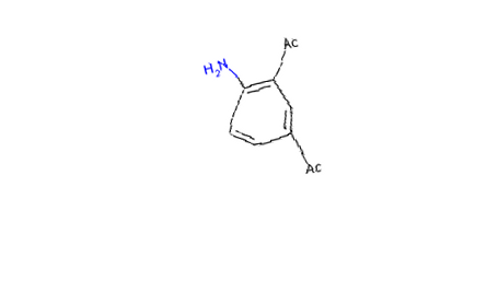 CC(=O)c1ccc(N)c(C(C)=O)c1